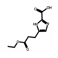 CCOC(=O)CCc1cnc(C(=O)O)[nH]1